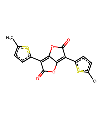 Cc1ccc(C2=C3OC(=O)C(c4ccc(C)s4)=C3OC2=O)s1